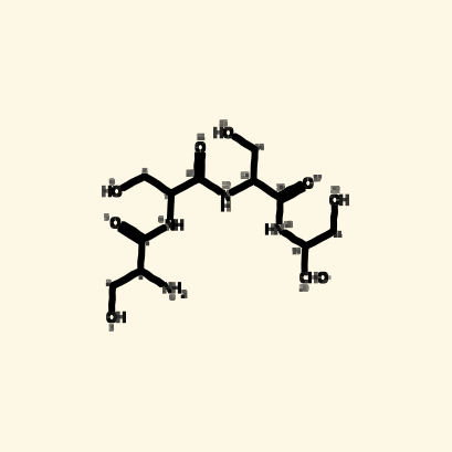 NC(CO)C(=O)NC(CO)C(=O)NC(CO)C(=O)NC([C]=O)CO